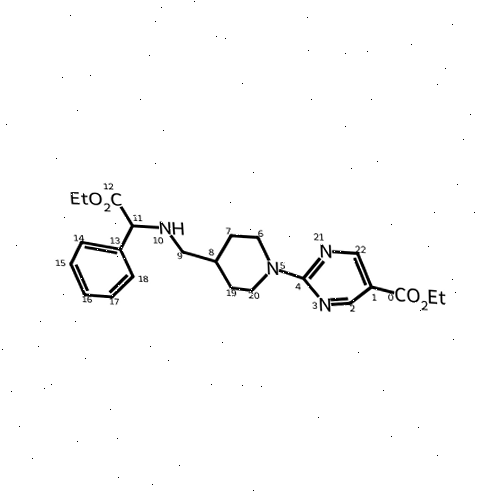 CCOC(=O)c1cnc(N2CCC(CNC(C(=O)OCC)c3ccccc3)CC2)nc1